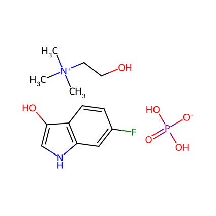 C[N+](C)(C)CCO.O=P([O-])(O)O.Oc1c[nH]c2cc(F)ccc12